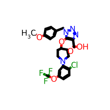 COc1ccc(Cn2nnc(C(=O)O)c2OC2CCN(c3cc(OC(F)(F)F)ccc3Cl)CC2)cc1